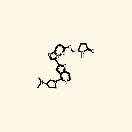 CN(C)[C@@H]1CCN(c2nccc3oc(-c4cnc5ccc(OC[C@H]6CCC(=O)N6)nn45)cc23)C1